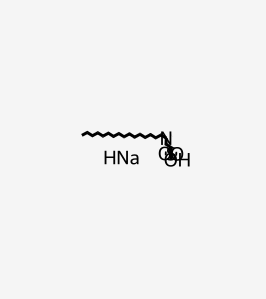 CCCCCCCCCCCCCCCCN(C)CCS(=O)(=O)O.[NaH]